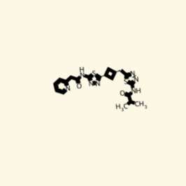 CC(C)C(=O)Nc1nnc(C[C@H]2C[C@@H](c3nnc(NC(=O)Cc4ccccn4)s3)C2)s1